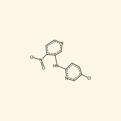 O=[N+]([O-])c1ccncc1Nc1ccc(Cl)cn1